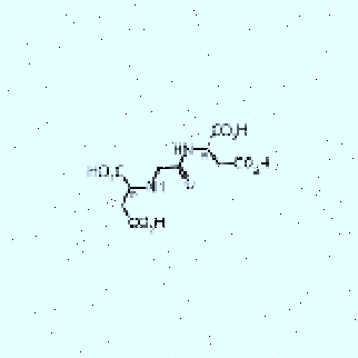 O=C(O)C[C@H](NCC(=O)N[C@@H](CC(=O)O)C(=O)O)C(=O)O